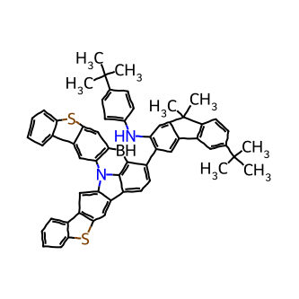 CC(C)(C)c1ccc(Nc2cc3c(cc2-c2ccc4c5cc6sc7ccccc7c6cc5n5c4c2Bc2cc4sc6ccccc6c4cc2-5)-c2cc(C(C)(C)C)ccc2C3(C)C)cc1